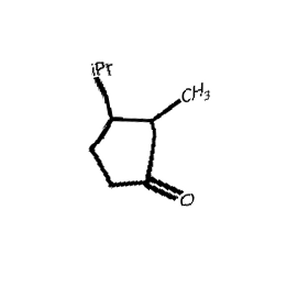 CC(C)C1CCC(=O)C1C